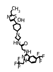 CCc1ncc([C@]2(O)CC[C@H](N3CC(NC(=O)CNc4nn(CC(F)(F)F)c5ccc(C(F)(F)F)cc45)C3)CC2)s1